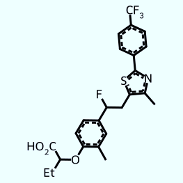 CCC(Oc1ccc(C(F)Cc2sc(-c3ccc(C(F)(F)F)cc3)nc2C)cc1C)C(=O)O